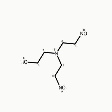 O=NCCN(CCO)CCN=O